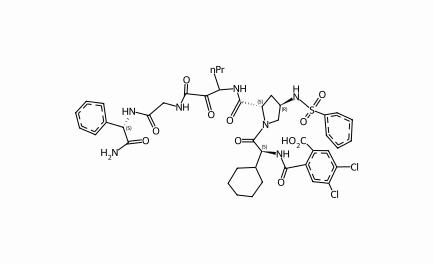 CCCC(NC(=O)[C@@H]1C[C@@H](NS(=O)(=O)c2ccccc2)CN1C(=O)[C@@H](NC(=O)c1cc(Cl)c(Cl)cc1C(=O)O)C1CCCCC1)C(=O)C(=O)NCC(=O)N[C@H](C(N)=O)c1ccccc1